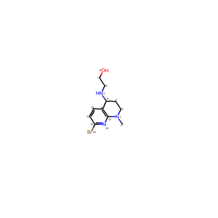 CN1CCC(NCCO)c2ccc(Br)nc21